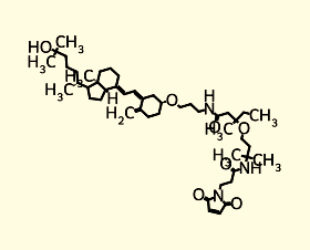 C=C1CC[C@H](OCCCNC(=O)CC(C)(CC)OCCC(C)(C)NC(=O)CCN2C(=O)C=CC2=O)C/C1=C/C=C1\CCC[C@]2(C)C([C@H](C)CCCC(C)(C)O)CC[C@@H]12